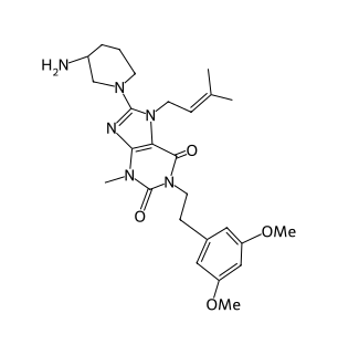 COc1cc(CCn2c(=O)c3c(nc(N4CCCC(N)C4)n3CC=C(C)C)n(C)c2=O)cc(OC)c1